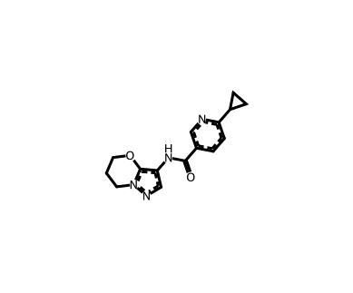 O=C(Nc1cnn2c1OCCC2)c1ccc(C2CC2)nc1